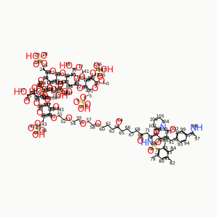 CO[C@H]1O[C@H](COS(=O)(=O)O)[C@@H](O[C@@H]2O[C@@H](C(=O)O)[C@@H](O[C@H]3O[C@H](COS(=O)(=O)O)[C@@H](O[C@@H]4O[C@H](C(=O)O)[C@@H](O[C@H]5O[C@H](COS(=O)(=O)O)[C@@H](OCCOCCOCCOCCCC(=O)CCCCC(=O)C[C@H](NS(=O)(=O)c6c(C)cc(C)c(C)c6C)C(=O)C[C@H](Cc6ccc(C(C)=N)cc6)C(=O)N6CCCCC6)[C@H](OC)[C@H]5OC)[C@H](OC)[C@H]4OC)[C@H](OS(=O)(=O)O)[C@H]3OS(=O)(=O)O)[C@H](OC)[C@H]2OC)[C@H](OC)[C@H]1OS(=O)(=O)O